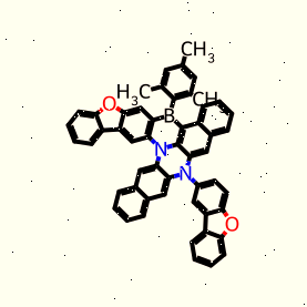 Cc1cc(C)c(B2c3cc4oc5ccccc5c4cc3N3c4cc5ccccc5cc4N(c4ccc5oc6ccccc6c5c4)c4cc5ccccc5c2c43)c(C)c1